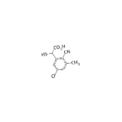 Cc1cc(Cl)cc(C(S)C(=O)O)c1C#N